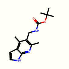 Cc1nc2[nH]ccc2c(C)c1CNC(=O)OC(C)(C)C